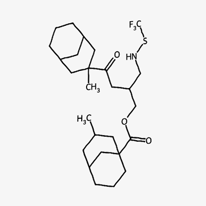 CC1CC2CCCC(C(=O)OCC(CNSC(F)(F)F)CC(=O)C3(C)CC4CCCC(C4)C3)(C1)C2